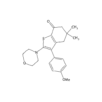 COc1ccc(-c2c(N3CCOCC3)sc3c2CC(C)(C)CC3=O)cc1